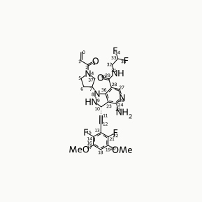 C=CC(=O)N1CCC(N2N[C@@H](C#Cc3c(F)c(OC)cc(OC)c3F)c3c(N)ncc(C(=O)NCC(F)F)c32)C1